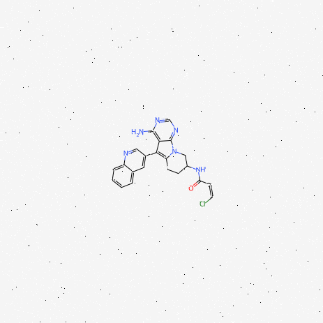 Nc1ncnc2c1c(-c1cnc3ccccc3c1)c1n2CC(NC(=O)/C=C\Cl)CC1